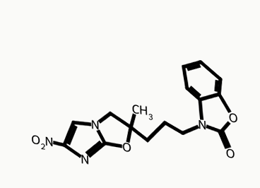 CC1(CCCn2c(=O)oc3ccccc32)Cn2cc([N+](=O)[O-])nc2O1